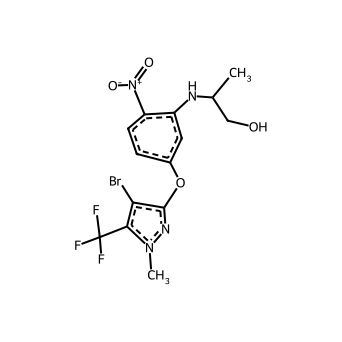 CC(CO)Nc1cc(Oc2nn(C)c(C(F)(F)F)c2Br)ccc1[N+](=O)[O-]